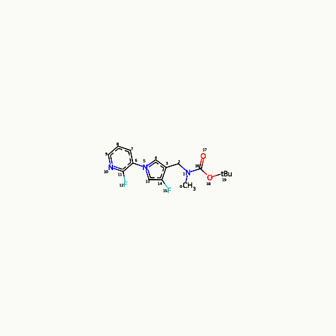 CN(Cc1cn(-c2cccnc2F)cc1F)C(=O)OC(C)(C)C